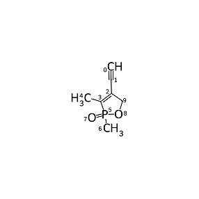 C#CC1=C(C)P(C)(=O)OC1